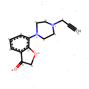 C#CCN1CCN(c2cccc3c2OCC3=O)CC1